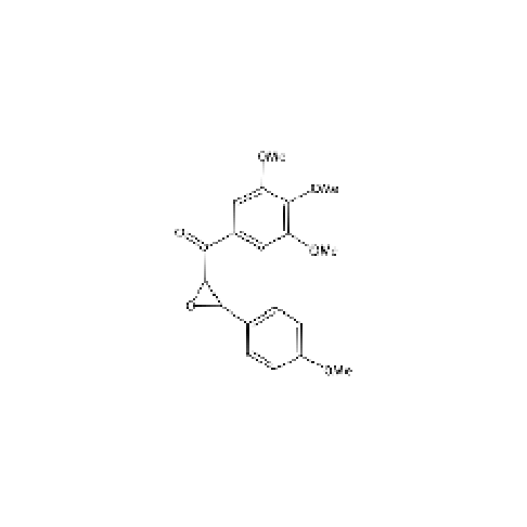 COc1ccc(C2OC2C(=O)c2cc(OC)c(OC)c(OC)c2)cc1